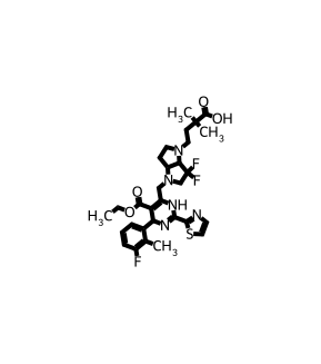 CCOC(=O)C1=C(CN2CC(F)(F)C3C2CCN3CCC(C)(C)C(=O)O)NC(c2nccs2)=NC1c1cccc(F)c1C